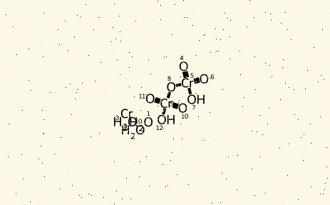 O.O.O.[Cr].[O]=[Cr](=[O])([OH])[O][Cr](=[O])(=[O])[OH]